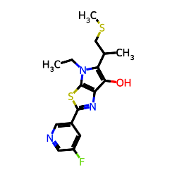 CCn1c(C(C)CSC)c(O)c2nc(-c3cncc(F)c3)sc21